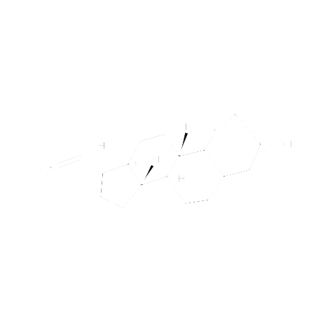 C=C[C@H]1CC[C@H]2[C@@H]3CCC4C[C@@H](O)CC[C@]4(C)[C@H]3CC[C@]12C